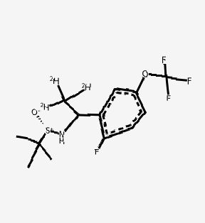 [2H]C([2H])([2H])C(N[S@@+]([O-])C(C)(C)C)c1cc(OC(F)(F)F)ccc1F